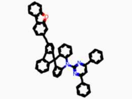 c1ccc(-c2cc(-c3ccccc3)nc(N3c4ccccc4C4(c5ccccc5-c5cc(-c6ccc7c(c6)oc6ccccc67)ccc54)c4ccccc43)n2)cc1